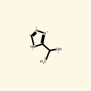 [CH2]C(O)c1nnc[nH]1